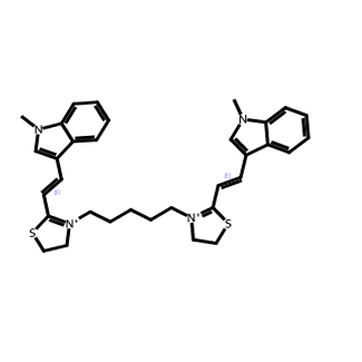 Cn1cc(/C=C/C2=[N+](CCCCC[N+]3=C(/C=C/c4cn(C)c5ccccc45)SCC3)CCS2)c2ccccc21